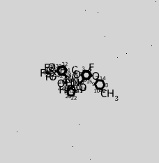 COc1cc(F)c(O[C@H]2CC[C@@H](C)CC2)cc1C(=O)N[C@@H]1[C@H]2CC[C@H](C2)[C@@H]1C(=O)Nc1cccc(S(=O)(=O)C(F)(F)F)c1